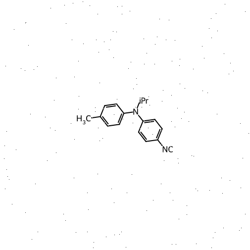 [C-]#[N+]c1ccc(N(c2ccc(C)cc2)C(C)C)cc1